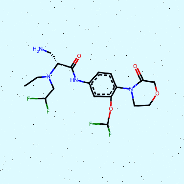 CCN(CC(F)F)[C@H](CN)C(=O)Nc1ccc(N2CCOCC2=O)c(OC(F)F)c1